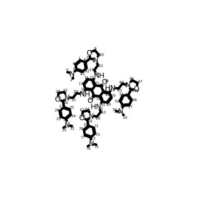 CN(C)c1ccc(C2OCCN2CCNc2ccc(NCCN3CCOC3c3ccc(N(C)C)cc3)c3c2C(=O)c2c(NCCN4CCOC4c4ccc(N(C)C)cc4)ccc(NCCN4CCOC4c4ccc(N(C)C)cc4)c2C3=O)cc1